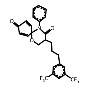 O=C1C=CC2(C=C1)OCC(CCCc1cc(C(F)(F)F)cc(C(F)(F)F)c1)C(=O)N2c1ccccc1